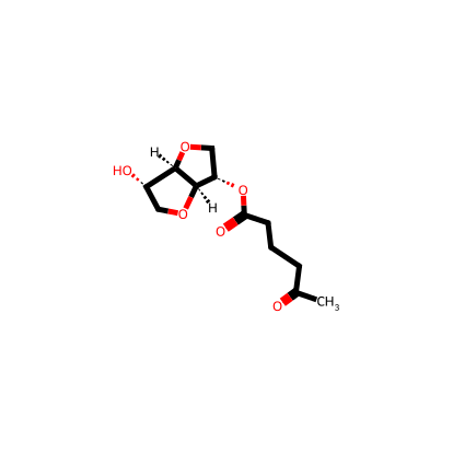 CC(=O)CCCC(=O)O[C@H]1CO[C@H]2[C@@H]1OC[C@@H]2O